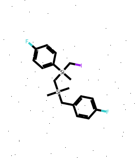 C[Si](C)(Cc1ccc(F)cc1)C[Si](C)(CI)c1ccc(F)cc1